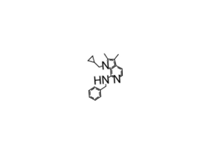 Cc1c(C)n(CC2CC2)c2c(NCc3ccccc3)nccc12